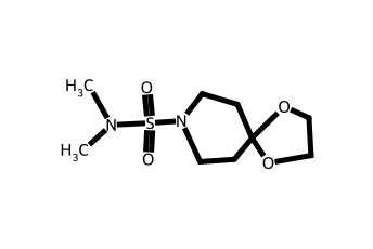 CN(C)S(=O)(=O)N1CCC2(CC1)OCCO2